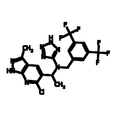 Cc1n[nH]c2nc(Cl)c(C(C)N(Cc3cc(C(F)(F)F)cc(C(F)(F)F)c3)c3nn[nH]n3)cc12